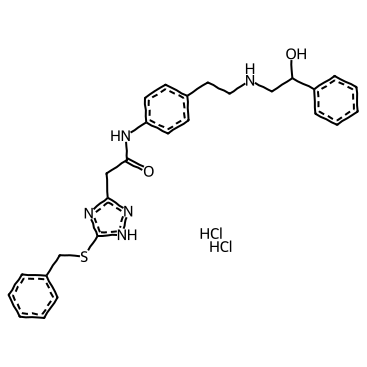 Cl.Cl.O=C(Cc1n[nH]c(SCc2ccccc2)n1)Nc1ccc(CCNCC(O)c2ccccc2)cc1